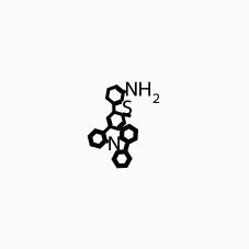 CC12C=CC(c3ccccc3-n3c4ccccc4c4ccccc43)=CC1C1=C(S2)C(N)=CCC1